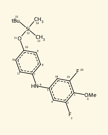 COc1c(F)cc(Nc2ccc(O[Si](C)(C)C(C)(C)C)cc2)cc1F